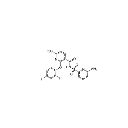 CC(C)(C)c1ccc(C(=O)NS(=O)(=O)c2cccc(N)n2)c(Oc2ccc(F)cc2F)n1